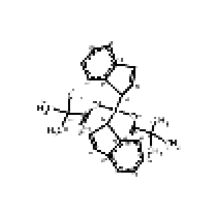 CC(C)(C)C(=O)[O][Ti]([O]C(=O)C(C)(C)C)([CH]1C=Cc2ccccc21)[CH]1C=Cc2ccccc21